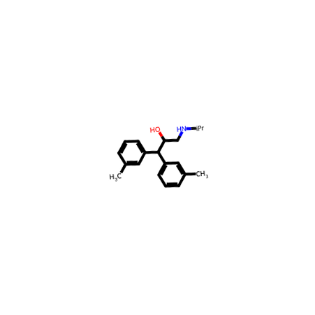 Cc1cccc(C(c2cccc(C)c2)C(O)CNC(C)C)c1